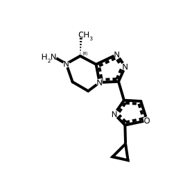 C[C@@H]1c2nnc(-c3coc(C4CC4)n3)n2CCN1N